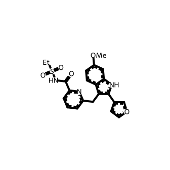 CCS(=O)(=O)NC(=O)c1cccc(Cc2c(-c3ccoc3)[nH]c3cc(OC)ccc23)n1